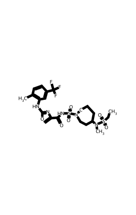 CCS(=O)(=O)N(C)C1CCCN(S(=O)(=O)NC(=O)c2coc(Nc3cc(C(F)(F)F)ccc3C)n2)CC1